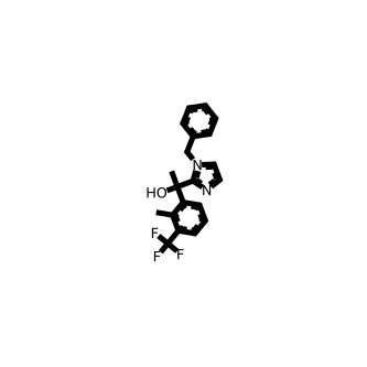 Cc1c(C(F)(F)F)cccc1C(C)(O)c1nccn1Cc1ccccc1